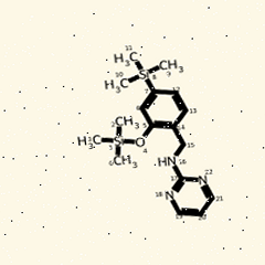 C[Si](C)(C)Oc1cc([Si](C)(C)C)ccc1CNc1ncccn1